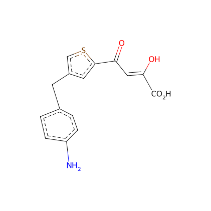 Nc1ccc(Cc2csc(C(=O)C=C(O)C(=O)O)c2)cc1